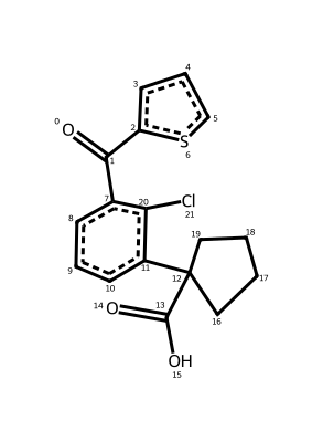 O=C(c1cccs1)c1cccc(C2(C(=O)O)CCCC2)c1Cl